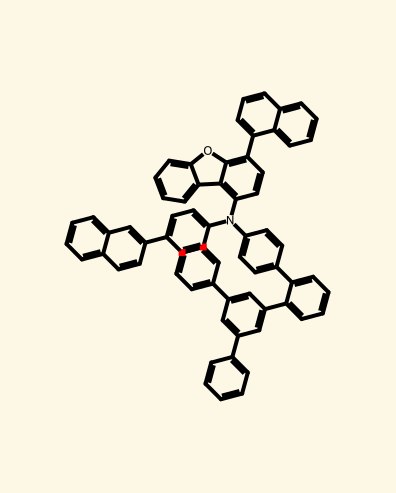 c1ccc(-c2cc(-c3ccccc3)cc(-c3ccccc3-c3ccc(N(c4ccc(-c5ccc6ccccc6c5)cc4)c4ccc(-c5cccc6ccccc56)c5oc6ccccc6c45)cc3)c2)cc1